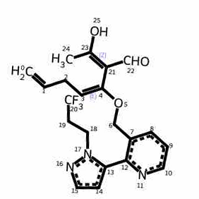 C=CC/C=C(OCc1cccnc1-c1ccnn1CCC(F)(F)F)\C(C=O)=C(/C)O